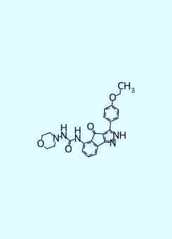 CCOc1ccc(-c2[nH]nc3c2C(=O)c2c(NC(=O)NN4CCOCC4)cccc2-3)cc1